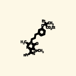 CCCc1nn(C)c2c(=O)n(CCCc3cccc(OC(C)(CC)C(=O)OCC)c3)c(C)nc12